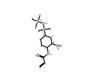 C=CC(=O)OC1CCC([Si](C)(C)O[Si](C)(C)C)CC1O